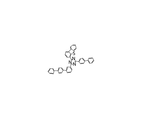 c1ccc(-c2ccc(-c3cccc(-c4nc(-c5ccc(-c6ccccc6)cc5)nc(-c5cccc6c5sc5ccccc56)n4)c3)cc2)cc1